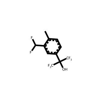 Cc1ccc(C(O)(C(F)(F)F)C(F)(F)F)cc1C(F)F